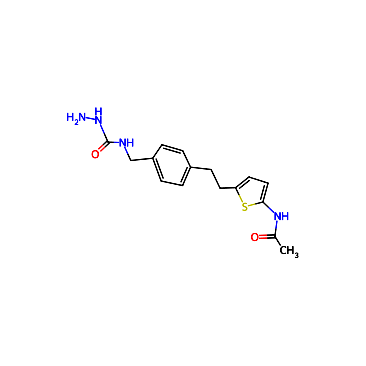 CC(=O)Nc1ccc(CCc2ccc(CNC(=O)NN)cc2)s1